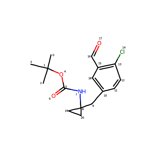 CC(C)(C)OC(=O)NC1(Cc2ccc(Cl)c(C=O)c2)CC1